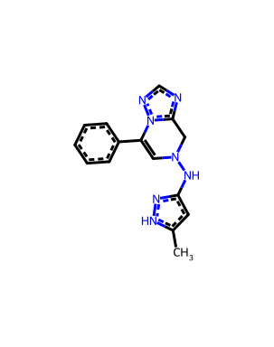 Cc1cc(NN2C=C(c3ccccc3)n3ncnc3C2)n[nH]1